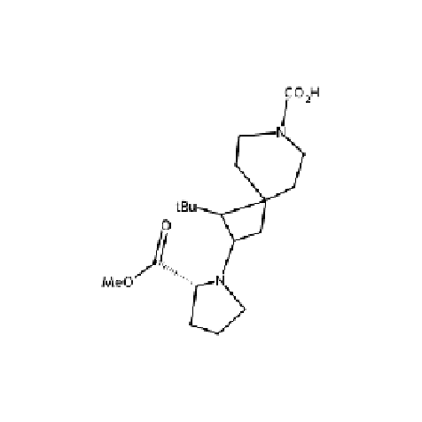 COC(=O)[C@H]1CCCN1C1CC2(CCN(C(=O)O)CC2)C1C(C)(C)C